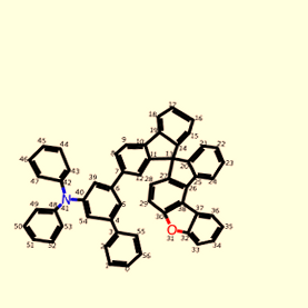 c1ccc(-c2cc(-c3ccc4c(c3)C3(c5ccccc5-4)c4ccccc4-c4c3ccc3oc5ccccc5c43)cc(N(c3ccccc3)c3ccccc3)c2)cc1